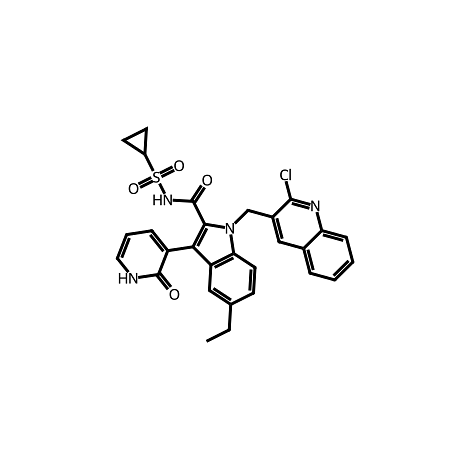 CCc1ccc2c(c1)c(-c1ccc[nH]c1=O)c(C(=O)NS(=O)(=O)C1CC1)n2Cc1cc2ccccc2nc1Cl